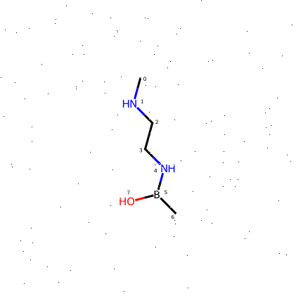 CNCCNB(C)O